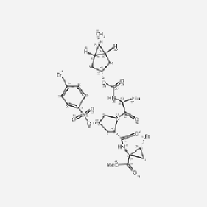 CC[C@@H]1C[C@]1(NC(=O)[C@@H]1C[C@H](OS(=O)(=O)c2ccc(Br)cc2)CN1C(=O)[C@@H](NC(=O)O[C@@H]1C[C@@H]2[C@H](C)[C@@H]2C1)C(C)(C)C)C(=O)OC